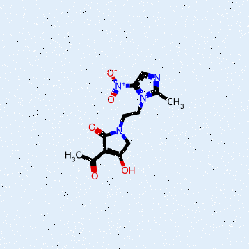 CC(=O)C1=C(O)CN(CCn2c([N+](=O)[O-])cnc2C)C1=O